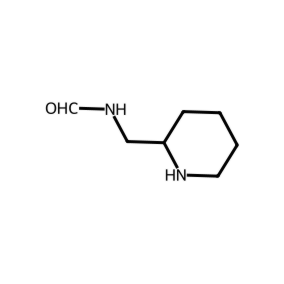 O=CNCC1CCCCN1